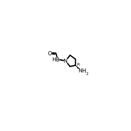 N[C@@H]1CCN(BC=O)C1